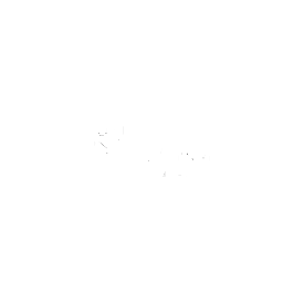 CCCCCCCCCC(CCCC)CCCCC/C=C\C(=O)O